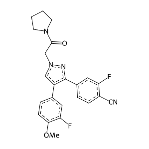 COc1ccc(-c2cn(CC(=O)N3CCCC3)nc2-c2ccc(C#N)c(F)c2)cc1F